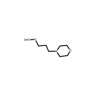 O=[C]OCCCN1CCOCC1